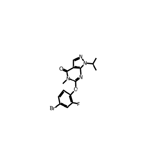 CC(C)n1ncc2c(=O)n(C)c(Oc3ccc(Br)cc3F)nc21